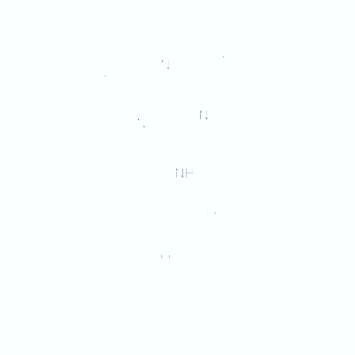 CCOC(=O)C1(Nc2nc(OC)nc(SC)n2)CCCC1